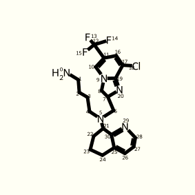 NCCCCN(CC1CN2C=C(C(F)(F)F)C=C(Cl)C2=N1)C1CCCc2cccnc21